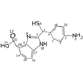 Nc1ccc(C(S)c2nc3c(C(=O)O)cccc3[nH]2)cc1